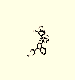 O=S(=O)(Nc1ccc(N2CCNCC2)c2ccccc12)c1ccc(Cl)c(Cl)c1